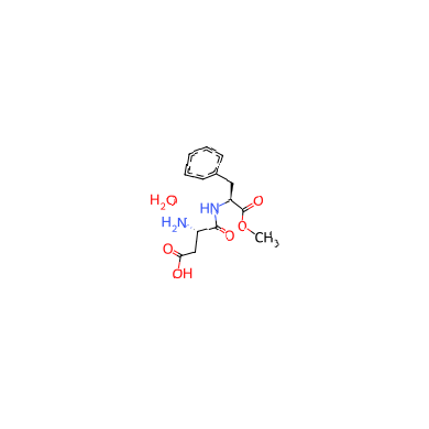 COC(=O)[C@H](Cc1ccccc1)NC(=O)[C@@H](N)CC(=O)O.O